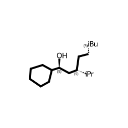 CC[C@@H](C)CC[C@@H](C[C@H](O)C1CCCCC1)C(C)C